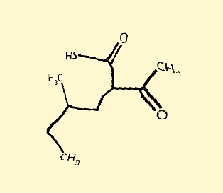 CCC(C)CC(C(C)=O)C(=O)S